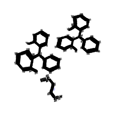 Cc1ccccc1N(c1ccccc1)c1ccccc1C.Cc1ccccc1N(c1ccccc1)c1ccccc1C.O=C(O)/C=C/C(=O)O